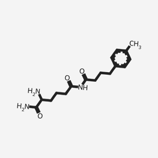 Cc1ccc(CCCC(=O)NC(=O)CCCC(N)C(N)=O)cc1